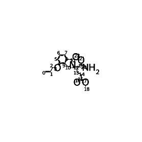 C=CCOc1cccc2c1CN(C(CCC(=O)OC)C(N)=O)C2=O